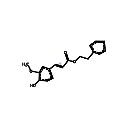 COc1cc(/C=C/C(=O)OCCc2ccccc2)ccc1O